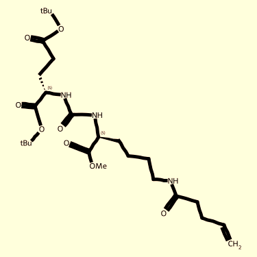 C=CCCC(=O)NCCCC[C@H](NC(=O)N[C@@H](CCC(=O)OC(C)(C)C)C(=O)OC(C)(C)C)C(=O)OC